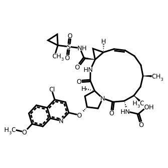 COc1ccc2c(Cl)cc(O[C@@H]3C[C@H]4C(=O)N[C@]5(C(=O)NS(=O)(=O)C6(C)CC6)C[C@H]5/C=C\CC[C@@H](C)C[C@@H](C)[C@H](NC(=O)O)C(=O)N4C3)nc2c1